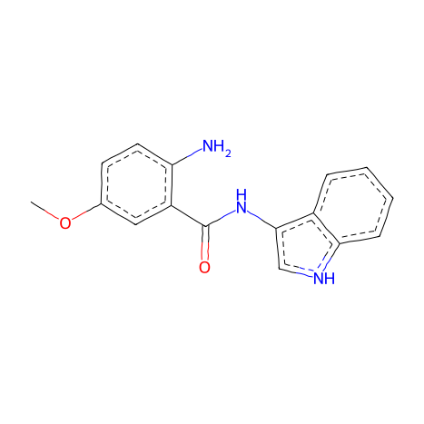 COc1ccc(N)c(C(=O)Nc2c[nH]c3ccccc23)c1